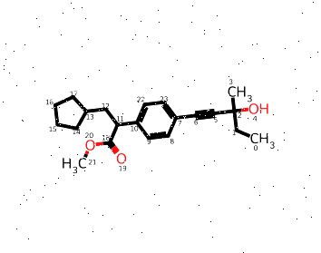 CCC(C)(O)C#Cc1ccc(C(CC2CCCC2)C(=O)OC)cc1